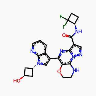 O=C(N[C@@H]1CCC1(F)F)c1cnn2c3c(c(-c4cn([C@H]5C[C@H](O)C5)c5ncccc45)nc12)OCCN3